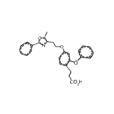 Cc1oc(-c2ccccc2)nc1CCOc1ccc(CCC(=O)O)c(Oc2ccccc2)c1